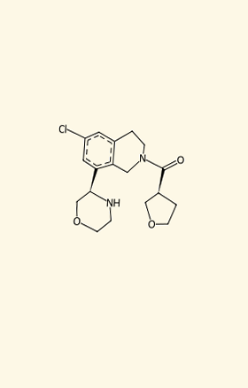 O=C([C@H]1CCOC1)N1CCc2cc(Cl)cc([C@@H]3COCCN3)c2C1